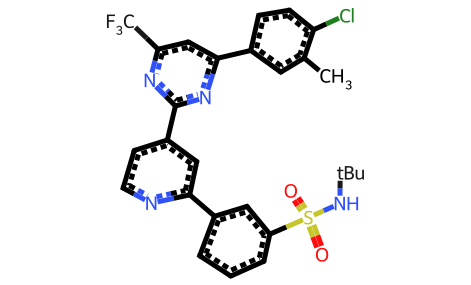 Cc1cc(-c2cc(C(F)(F)F)nc(-c3ccnc(-c4cccc(S(=O)(=O)NC(C)(C)C)c4)c3)n2)ccc1Cl